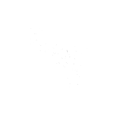 CCC[C@H](C(=O)OC)[C@H](Cc1ccc(C2CCN(C(=O)OC(C)(C)C)C2)nc1)c1nnnn1Cc1ccc(OC)cc1